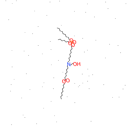 CCCCCCCCCOC(=O)CCCCCCCN(CCO)CCCCCCCCCOP(=O)(OCCCCCC)OCCCCCCCCC